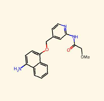 COCC(=O)Nc1cc(COc2ccc(N)c3ccccc23)ccn1